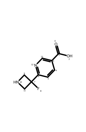 O=C(O)c1ccc(C2(F)CNC2)nc1